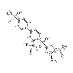 CO[C@H]1C[C@@H](S(=O)(=O)c2ccc(-c3ccc(S(N)(=O)=O)cc3)cc2C(F)(F)F)C[C@@H]1C(=O)O